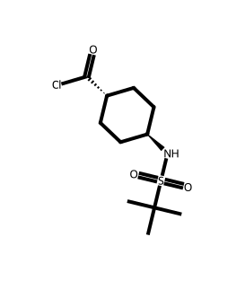 CC(C)(C)S(=O)(=O)N[C@H]1CC[C@H](C(=O)Cl)CC1